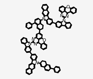 C1=C(c2cc3c4c(nc(-n5c6ccccc6c6ccc(-c7ccc8c(c7)c7cc9ccccc9cc7n8C7=Cc8ccc(-c9ccccc9)cc8CC7)cc65)nc4c2)-c2ccccc2O3)CCc2c(-n3c4ccc(-c5ccc6c7ccccc7n(-c7nc8c9c(cccc9n7)Oc7ccccc7-8)c6c5)cc4c4cc5ccccc5cc43)ccc(-c3ccccc3)c21